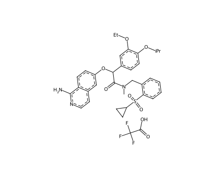 CCOc1cc(C(Oc2ccc3c(N)nccc3c2)C(=O)N(C)Cc2ccccc2S(=O)(=O)C2CC2)ccc1OC(C)C.O=C(O)C(F)(F)F